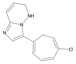 ClC1=CCC(c2cnc3n2NCC=C3)=CC=C1